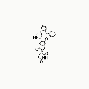 O=C1CCC(N2Cc3cc(OCC4CCCCN4Cc4ccccc4N4CCNCC4)ccc3C2=O)C(=O)N1